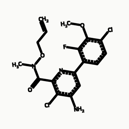 C=CCON(C)C(=O)c1nc(-c2ccc(Cl)c(OC)c2F)cc(N)c1Cl